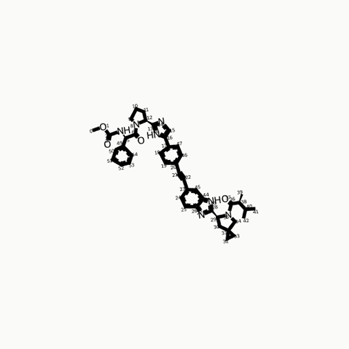 COC(=O)N[C@H](C(=O)N1CCC[C@H]1c1ncc(-c2ccc(C#Cc3ccc4nc([C@@H]5CC6(CC6)CN5C(=O)[C@@H](C)C(C)C)[nH]c4c3)cc2)[nH]1)c1ccccc1